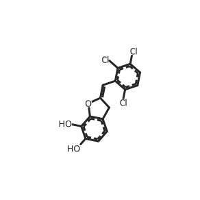 Oc1ccc2c(c1O)OC(=Cc1c(Cl)ccc(Cl)c1Cl)C2